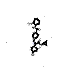 Nc1ccccc1NC(=O)c1ccc(/C=C(\C(=O)NC2CC2)c2ccc(O)cc2)cc1